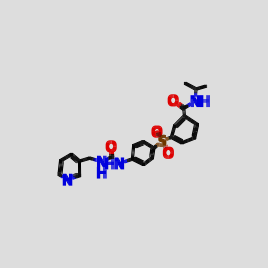 CC(C)NC(=O)c1cccc(S(=O)(=O)c2ccc(NC(=O)NCc3cccnc3)cc2)c1